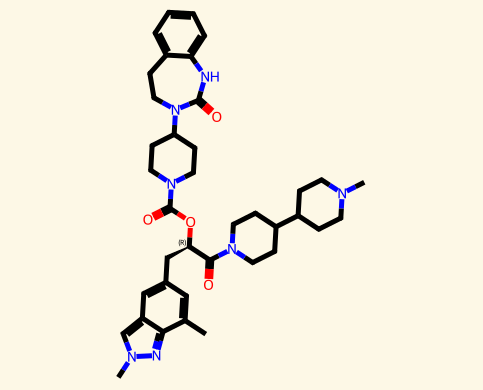 Cc1cc(C[C@@H](OC(=O)N2CCC(N3CCc4ccccc4NC3=O)CC2)C(=O)N2CCC(C3CCN(C)CC3)CC2)cc2cn(C)nc12